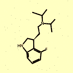 CC(C)N(CC[C@@H]1CNc2cccc(F)c21)C(C)C